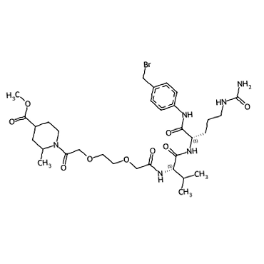 COC(=O)C1CCN(C(=O)COCCOCC(=O)N[C@H](C(=O)N[C@@H](CCCNC(N)=O)C(=O)Nc2ccc(CBr)cc2)C(C)C)C(C)C1